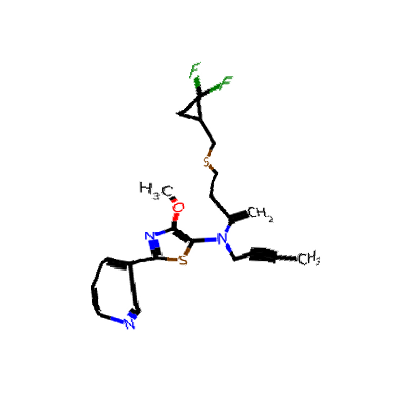 C=C(CCSCC1CC1(F)F)N(CC#CC)c1sc(-c2cccnc2)nc1OC